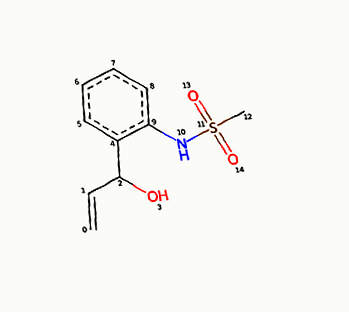 C=CC(O)c1ccccc1NS(C)(=O)=O